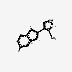 Nc1n[nH]cc1-c1nc2ccc(F)cc2s1